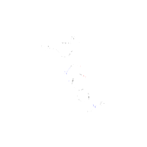 CCN(CC)c1ccc(/C=C2/N=C(c3cc([N+](=O)[O-])cc([N+](=O)[O-])c3)OC2=O)cc1